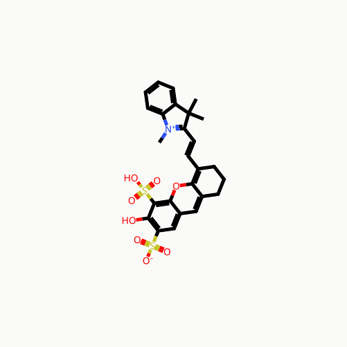 C[N+]1=C(/C=C/C2=C3Oc4c(cc(S(=O)(=O)[O-])c(O)c4S(=O)(=O)O)C=C3CCC2)C(C)(C)c2ccccc21